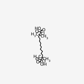 CC(C)(CCCCCCCCCCC(C)(C)C(Cl)(Cl)C(=O)O)C(Cl)(Cl)C(=O)O